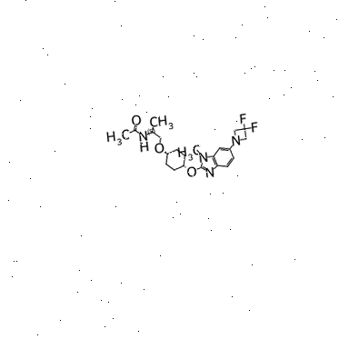 CC(=O)N[C@@H](C)CO[C@H]1CC[C@H](Oc2nc3ccc(N4CC(F)(F)C4)cc3n2C)CC1